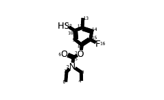 CCN(CC)C(=O)Oc1cc(S)c(C)cc1F